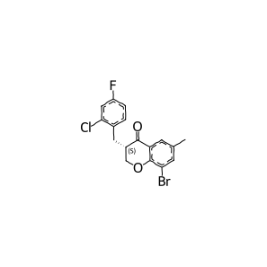 Cc1cc(Br)c2c(c1)C(=O)[C@@H](Cc1ccc(F)cc1Cl)CO2